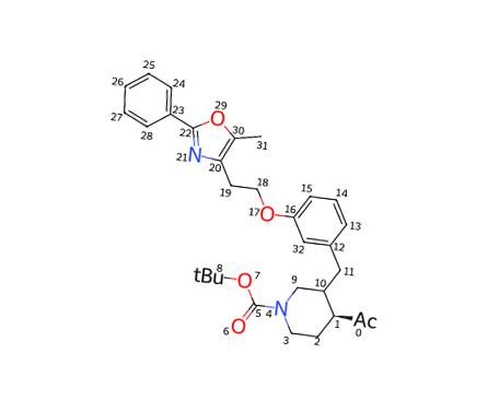 CC(=O)[C@H]1CCN(C(=O)OC(C)(C)C)CC1Cc1cccc(OCCc2nc(-c3ccccc3)oc2C)c1